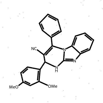 COc1ccc(C2Nc3nc4ccccc4n3C(c3ccccc3)=C2C#N)c(OC)c1